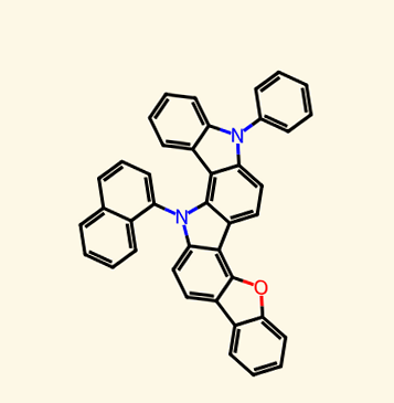 c1ccc(-n2c3ccccc3c3c2ccc2c4c5oc6ccccc6c5ccc4n(-c4cccc5ccccc45)c23)cc1